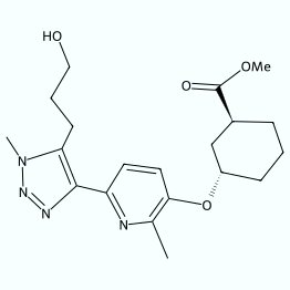 COC(=O)[C@H]1CCC[C@H](Oc2ccc(-c3nnn(C)c3CCCO)nc2C)C1